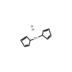 C1=C[CH]([Ti+2][CH]2C=CC=C2)C=C1.[H-].[H-]